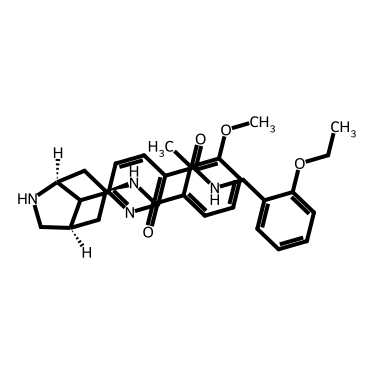 CCOc1ccccc1CNC(=O)c1ccc(C2[C@@H]3CN[C@H]2C[C@@H](NC(=O)c2cccc(OC)c2C)C3)nc1